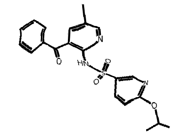 Cc1cnc(NS(=O)(=O)c2ccc(OC(C)C)nc2)c(C(=O)c2ccccc2)c1